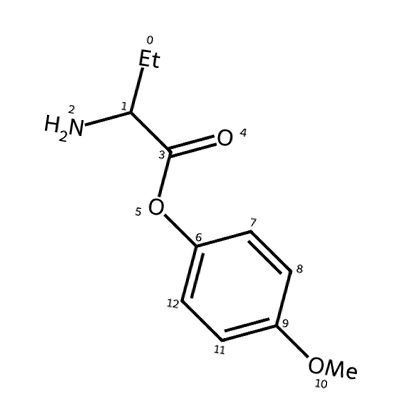 CCC(N)C(=O)Oc1ccc(OC)cc1